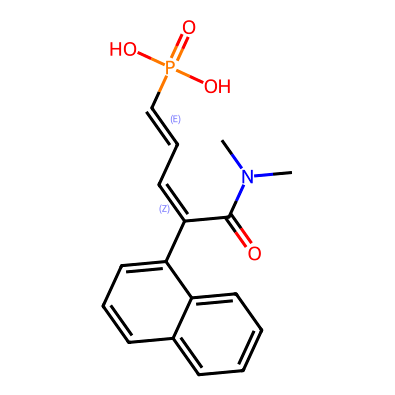 CN(C)C(=O)/C(=C\C=C\P(=O)(O)O)c1cccc2ccccc12